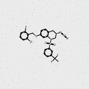 [N-]=[N+]=N[C@@H]1Cc2ccc(OCc3c(F)cccc3Cl)cc2N(S(=O)(=O)c2cccc(C(F)(F)F)c2)C1